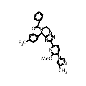 COc1nc(-c2nc3n(n2)CCN(C(=O)c2ccccc2)C3c2ccc(C(F)(F)F)cc2)ccc1-n1cnc(C)c1